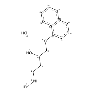 CC(C)NCCC(O)COc1cccc2ccccc12.Cl